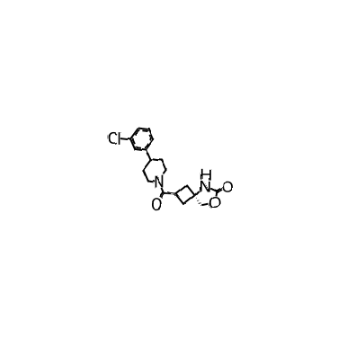 O=C1N[C@]2(CO1)C[C@H](C(=O)N1CCC(c3cccc(Cl)c3)CC1)C2